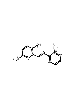 O=[N+]([O-])c1ccc(O)c(/C=N/c2ccccc2P)c1